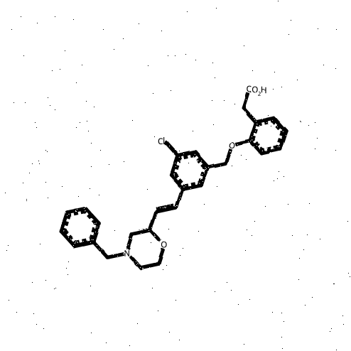 O=C(O)Cc1ccccc1OCc1cc(Cl)cc(/C=C/C2CN(Cc3ccccc3)CCO2)c1